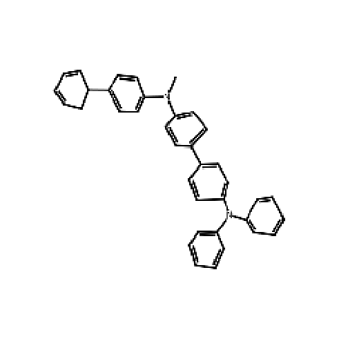 CN(c1ccc(-c2ccc(N(c3ccccc3)c3ccccc3)cc2)cc1)c1ccc(C2C=CC=CC2)cc1